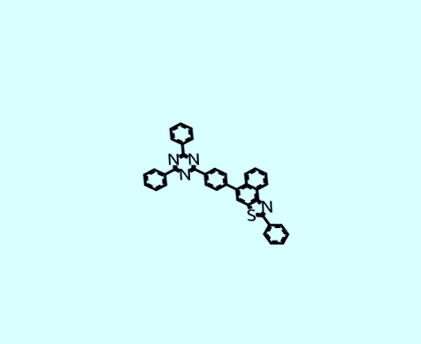 c1ccc(-c2nc(-c3ccccc3)nc(-c3ccc(-c4cc5sc(-c6ccccc6)nc5c5ccccc45)cc3)n2)cc1